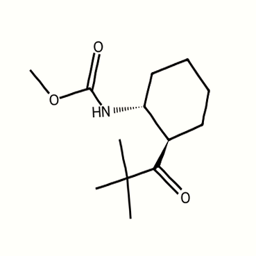 COC(=O)N[C@@H]1CCCC[C@H]1C(=O)C(C)(C)C